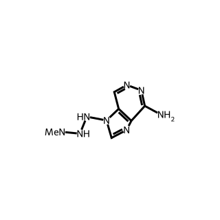 CNNNn1cnc2c(N)nncc21